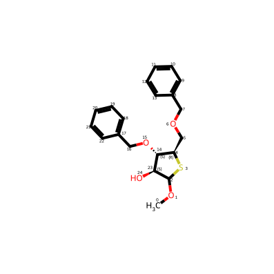 COC1S[C@H](COCc2ccccc2)[C@@H](OCc2ccccc2)[C@@H]1O